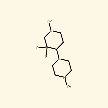 CCCN1CCC(N2CCN(C(C)C)CC2)C(F)(F)C1